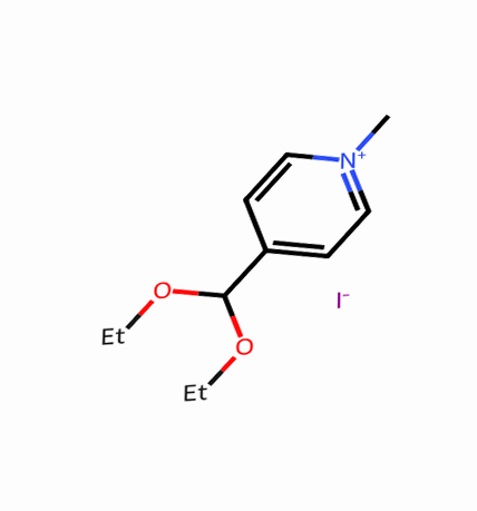 CCOC(OCC)c1cc[n+](C)cc1.[I-]